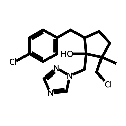 CC1(CCl)CCC(Cc2ccc(Cl)cc2)C1(O)Cn1cncn1